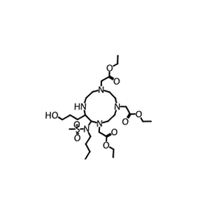 CCCCN(C1C(CCCO)NCCN(CC(=O)OCC)CCN(CC(=O)OCC)CCN1CC(=O)OCC)S(C)(=O)=O